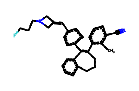 Cc1c(C#N)cccc1C1=C(c2ccc(C=C3CN(CCCF)C3)cc2)c2ccccc2CCC1